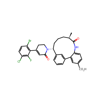 C[C@@H]1CCC[C@@H](N2CCC(c3c(Br)ccc(Cl)c3F)=CC2=O)c2cccc(c2)-c2cc(C(=O)O)ccc2NC1=O